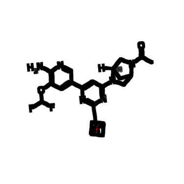 CC(=O)N1C[C@@H]2CC1CN2c1cc(-c2cnc(N)c(OC(F)F)c2)nc(N2CC3CC2C3)n1